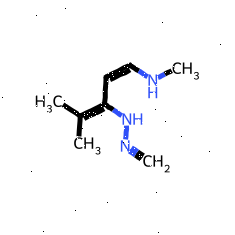 C=NNC(/C=C\NC)=C(C)C